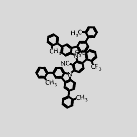 Cc1ccccc1-c1ccc2c(c1)c1cc(-c3ccccc3C)ccc1n2-c1ccc(-c2c(C(F)(F)F)cccc2C(F)(F)F)c(-n2c3ccc(-c4ccccc4C)cc3c3cc(-c4ccccc4C)ccc32)c1C#N